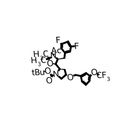 CC(=O)N1[C@@H](Cc2cc(F)cc(F)c2)[C@@H]([C@H]2C[C@@H](OCc3cccc(OC(F)(F)F)c3)CN2C(=O)OC(C)(C)C)OC1(C)C